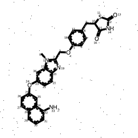 Cn1c(COc2ccc(CC3SC(=O)NC3=O)cc2)nc2ccc(Oc3ccc4cccc(N)c4c3)cc21